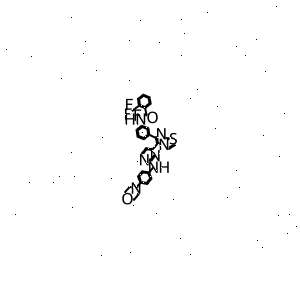 O=C(Nc1cccc(-c2nc3sccn3c2-c2ccnc(Nc3ccc(N4CCOCC4)cc3)n2)c1)c1ccccc1C(F)(F)F